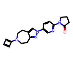 O=C1CCCN1c1ccc(-n2cc3c(n2)CCN(C2=CC=C2)CC3)cn1